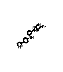 Brc1cc2[nH]c(-c3cccc(Nc4ccc(-c5cccnn5)cc4)c3)nc2cn1